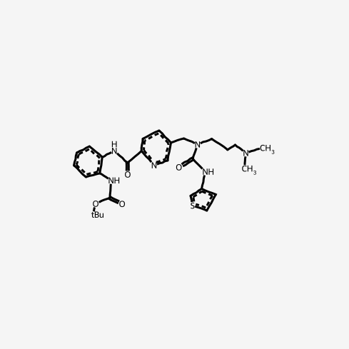 CN(C)CCCN(Cc1ccc(C(=O)Nc2ccccc2NC(=O)OC(C)(C)C)nc1)C(=O)Nc1ccsc1